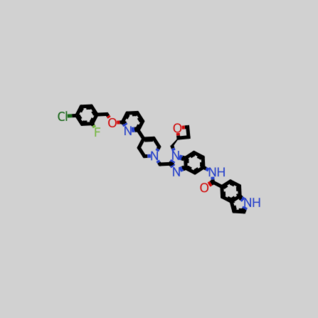 O=C(Nc1ccc2c(c1)nc(CN1CC=C(c3cccc(OCc4ccc(Cl)cc4F)n3)CC1)n2C[C@@H]1CCO1)c1ccc2[nH]ccc2c1